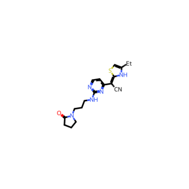 CCC1=CS/C(=C(/C#N)c2ccnc(NCCCN3CCCC3=O)n2)N1